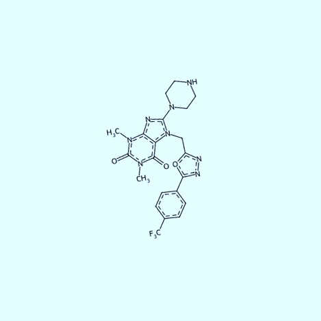 Cn1c(=O)c2c(nc(N3CCNCC3)n2Cc2nnc(-c3ccc(C(F)(F)F)cc3)o2)n(C)c1=O